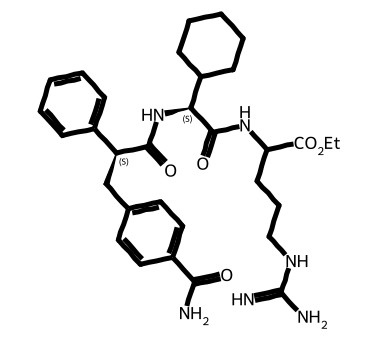 CCOC(=O)C(CCCNC(=N)N)NC(=O)[C@@H](NC(=O)[C@@H](Cc1ccc(C(N)=O)cc1)c1ccccc1)C1CCCCC1